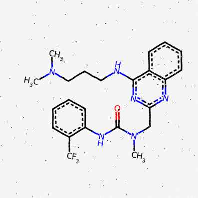 CN(C)CCCNc1nc(CN(C)C(=O)Nc2ccccc2C(F)(F)F)nc2ccccc12